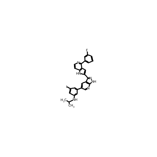 CC(C)Nc1cc(I)cc(-c2cnc3[nH]nc(-c4cc5c(-c6cccc(F)c6)nccc5[nH]4)c3c2)c1